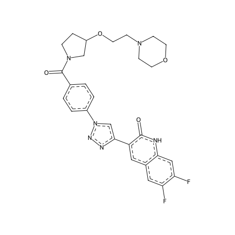 O=C(c1ccc(-n2cc(-c3cc4cc(F)c(F)cc4[nH]c3=O)nn2)cc1)N1CCC(OCCN2CCOCC2)C1